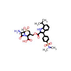 CC(C)c1cccc2c(-c3ccc(S(=O)(=O)N(C)C)cc3)c(C(=O)OCC3=C(C(=O)O)N4C(=O)[C@@H](N)[C@H]4S(=O)(=O)C3)[nH]c12